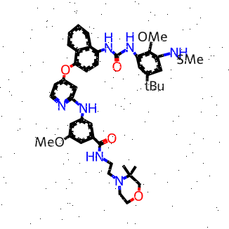 COc1cc(Nc2cc(Oc3ccc(NC(=O)Nc4cc(C(C)(C)C)cc(NSC)c4OC)c4ccccc34)ccn2)cc(C(=O)NCCN2CCOCC2(C)C)c1